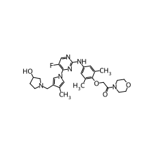 Cc1cn(-c2nc(Nc3cc(C)c(OCC(=O)N4CCOCC4)c(C)c3)ncc2F)cc1CN1CCC(O)C1